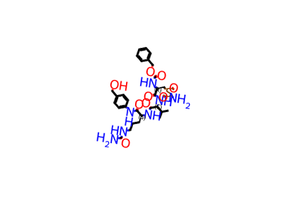 CC(C)[C@H](NC(=O)[C@H](CS(N)(=O)=O)NC(=O)OCc1ccccc1)C(=O)N[C@@H](CCCNC(N)=O)C(=O)Nc1ccc(CO)cc1